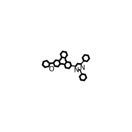 c1ccc(-c2cc(-c3ccc4c(c3)c3ccccc3c3cc5c(cc43)oc3ccccc35)nc(-c3ccccc3)n2)cc1